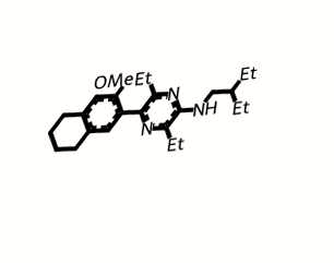 CCc1nc(-c2cc3c(cc2OC)CCCC3)c(CC)nc1NCC(CC)CC